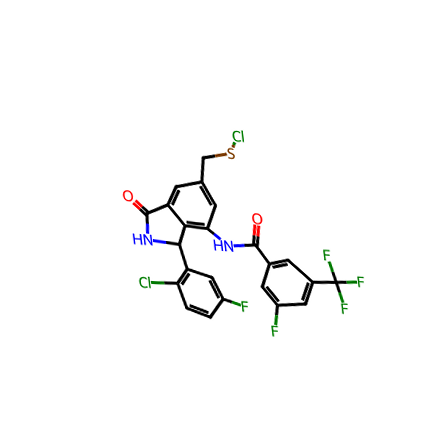 O=C(Nc1cc(CSCl)cc2c1C(c1cc(F)ccc1Cl)NC2=O)c1cc(F)cc(C(F)(F)F)c1